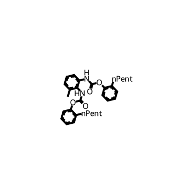 CCCCCc1ccccc1OC(=O)Nc1cccc(C)c1NC(=O)Oc1ccccc1CCCCC